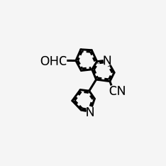 N#Cc1cnc2ccc(C=O)cc2c1-c1cccnc1